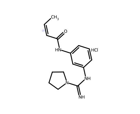 C/C=C\C(=O)Nc1cccc(NC(=N)N2CCCC2)c1.Cl